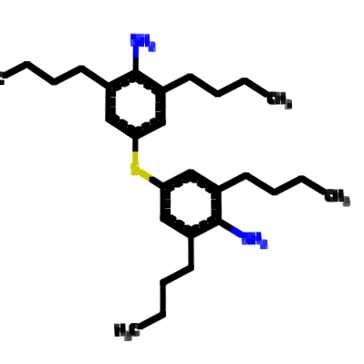 CCCCc1cc(Sc2cc(CCCC)c(N)c(CCCC)c2)cc(CCCC)c1N